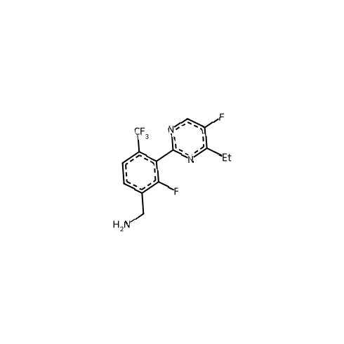 CCc1nc(-c2c(C(F)(F)F)ccc(CN)c2F)ncc1F